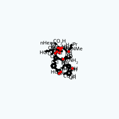 CCCCCCOC(CNC1(C)CC(OC2C(Oc3c4cc5cc3Oc3ccc(cc3Cl)[C@@H](O)[C@@H]3NC(=O)C(NC(=O)[C@@H]5NC(=O)[C@H](CC(N)=O)NC(=O)C(NC(=O)[C@@H](CC(C)C)NC)[C@H](O)c5ccc(c(Cl)c5)O4)c4ccc(O)c(c4)-c4c(O)cc(O)cc4[C@H](C(=O)O)NC3=O)OC(CO)C(O)C2O)OC(C)C1O)C(=O)O